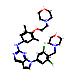 Cc1cc(Nc2ncc3ccn(-c4cc(F)c(CN5CCOCC5)c(F)c4)c3n2)cc(C)c1OCCN1CCOCC1